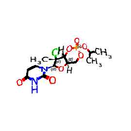 CC(C)O[P@]1(=O)OC[C@H]2O[C@@H](n3ccc(=O)[nH]c3=O)[C@](C)(Cl)[C@@H]2O1